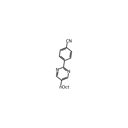 CCCCCCCCc1cnc(-c2ccc(C#N)cc2)nc1